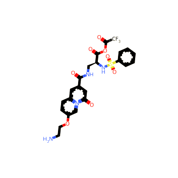 NCCOc1ccc2cc(C(=O)NC[C@H](NS(=O)(=O)c3ccccc3)C(=O)OC(=O)C(F)(F)F)cc(=O)n2c1